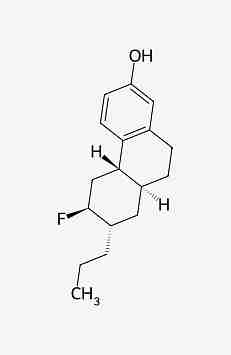 CCC[C@H]1C[C@@H]2CCc3cc(O)ccc3[C@H]2C[C@@H]1F